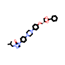 CC(C)Cn1ncn(-c2ccc(N3CCN(c4ccc(OC[C@@H]5COC(c6ccccc6)O5)cc4)CC3)cc2)c1=O